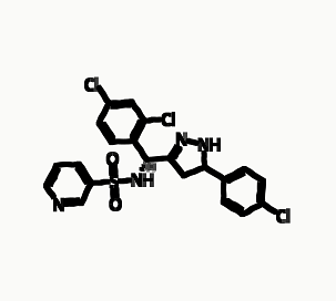 O=S(=O)(N[C@@H](C1=NNC(c2ccc(Cl)cc2)C1)c1ccc(Cl)cc1Cl)c1cccnc1